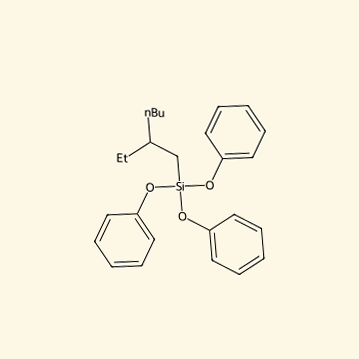 CCCCC(CC)C[Si](Oc1ccccc1)(Oc1ccccc1)Oc1ccccc1